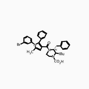 Cc1cc(C(=O)N2CCN(C(=O)O)C(C(C)(C)C)[C@H]2Cc2ccccc2)c(-c2ccccc2)n1-c1cccc(Br)c1